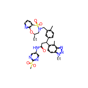 CC[C@@H]1CN(Cc2cc(C(CC(=O)Nc3cnc(S(C)(=O)=O)nc3)c3ccc4c(nnn4CC)c3C)ccc2C)S(=O)(=O)c2cccnc2O1